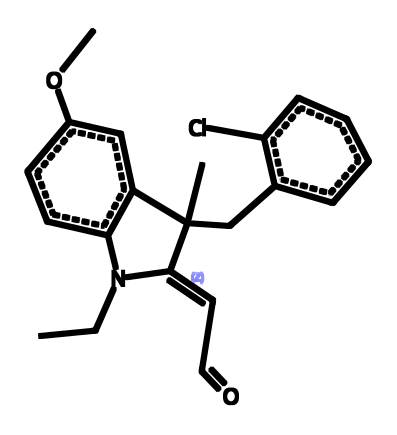 CCN1/C(=C\C=O)C(C)(Cc2ccccc2Cl)c2cc(OC)ccc21